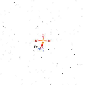 O=P([O-])(O)O.[Fe].[NH4+]